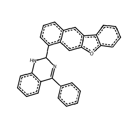 c1ccc(C2=NC(c3cccc4cc5c(cc34)oc3ccccc35)Nc3ccccc32)cc1